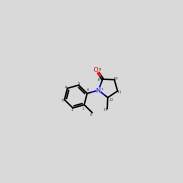 Cc1ccccc1N1C(=O)CCC1C